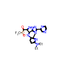 CCN(CC)c1ccc(/N=C2/C(C(=O)[S+]([O-])C(F)(F)F)=Nn3nc(-c4cnccn4)nc32)c(C)n1